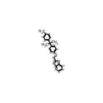 Cc1ccc(C(C)(C)c2ccc(OCc3nc4ncccc4o3)cc2)cc1